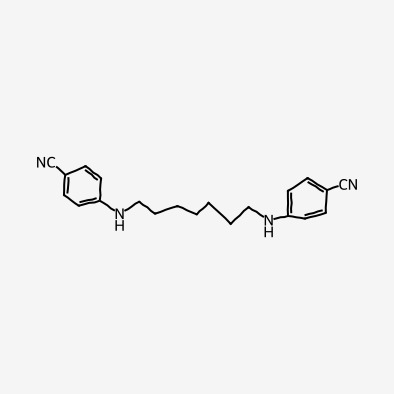 N#Cc1ccc(NCCCCCCCNc2ccc(C#N)cc2)cc1